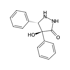 O=C1NN[C@@H](c2ccccc2)[C@@]1(O)c1ccccc1